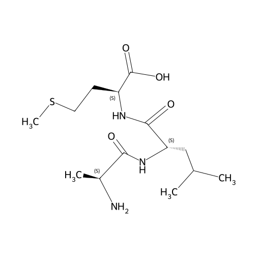 CSCC[C@H](NC(=O)[C@H](CC(C)C)NC(=O)[C@H](C)N)C(=O)O